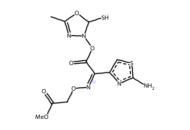 COC(=O)CO/N=C(\C(=O)ON1N=C(C)OC1S)c1csc(N)n1